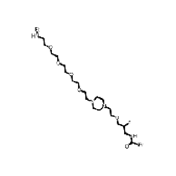 CCNCCOCCOCCOCCOCCN1CCN(CCOCC(F)CNC(=O)C(C)C)CC1